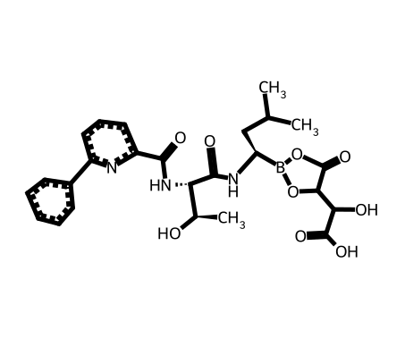 CC(C)C[C@H](NC(=O)[C@@H](NC(=O)c1cccc(-c2ccccc2)n1)[C@@H](C)O)B1OC(=O)C(C(O)C(=O)O)O1